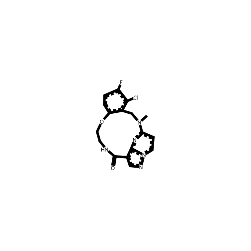 CN1Cc2c(ccc(F)c2Cl)OCCNC(=O)c2cnn3ccc1nc23